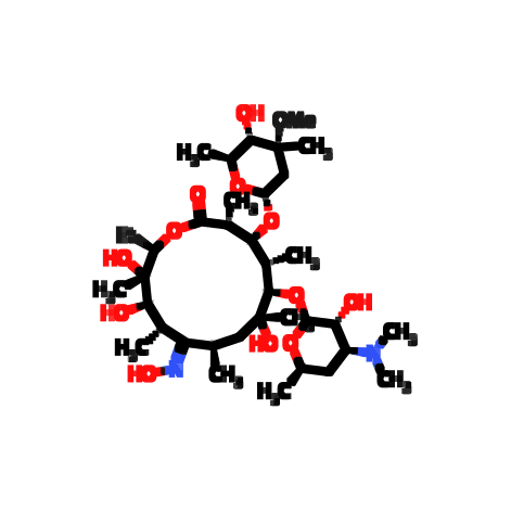 CC[C@H]1OC(=O)[C@H](C)[C@@H](O[C@H]2C[C@@](C)(OC)[C@@H](O)[C@H](C)O2)[C@H](C)[C@@H](O[C@@H]2O[C@H](C)C[C@H](N(C)C)[C@H]2O)[C@](C)(O)C[C@@H](C)/C(=N/O)[C@H](C)[C@@H](O)[C@]1(C)O